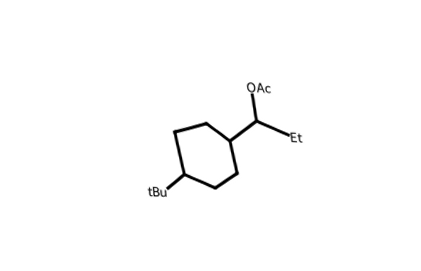 CCC(OC(C)=O)C1CCC(C(C)(C)C)CC1